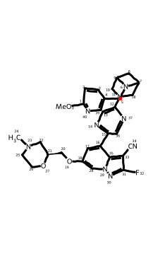 COc1ccc(CN2C3CC2CN(c2cnc(-c4cc(OC[C@@H]5CN(C)CCO5)cn5nc(F)c(C#N)c45)cn2)C3)cn1